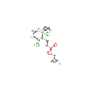 CCOC(=O)C=CC1C(Cl)=CC=CC1(C)Cl